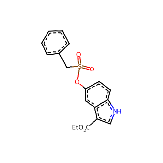 CCOC(=O)c1c[nH]c2ccc(OS(=O)(=O)Cc3ccccc3)cc12